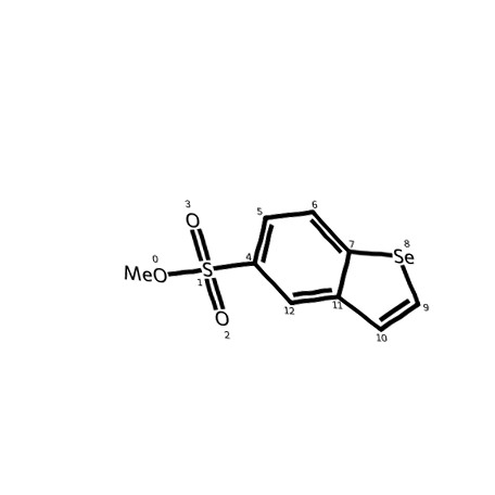 COS(=O)(=O)c1ccc2[se]ccc2c1